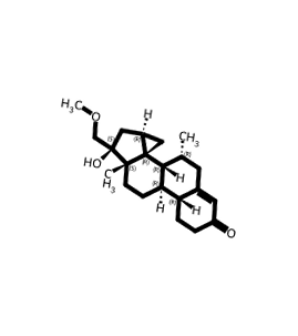 COC[C@]1(O)C[C@H]2C[C@]23[C@H]2[C@H](CC[C@]13C)[C@H]1CCC(=O)C=C1C[C@H]2C